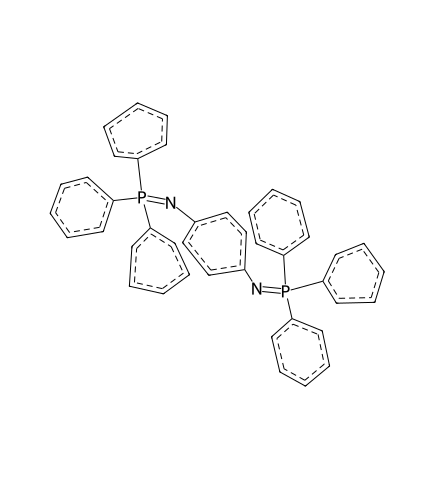 c1ccc(P(=Nc2ccc(N=P(c3ccccc3)(c3ccccc3)c3ccccc3)cc2)(c2ccccc2)c2ccccc2)cc1